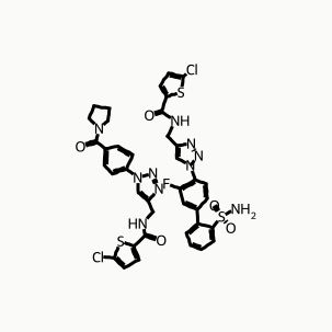 NS(=O)(=O)c1ccccc1-c1ccc(-n2cc(CNC(=O)c3ccc(Cl)s3)nn2)c(F)c1.O=C(NCc1cn(-c2ccc(C(=O)N3CCCC3)cc2)nn1)c1ccc(Cl)s1